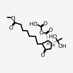 COC(=O)CCCCCCC1C(=O)C[C@@H](C(C)(O)O)[C@H]1C(=O)OC(=O)O